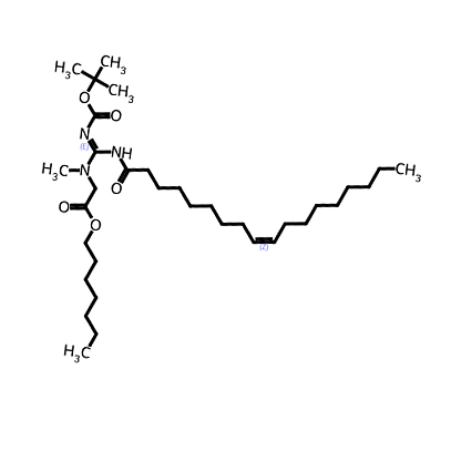 CCCCCCCC/C=C\CCCCCCCC(=O)N/C(=N\C(=O)OC(C)(C)C)N(C)CC(=O)OCCCCCCC